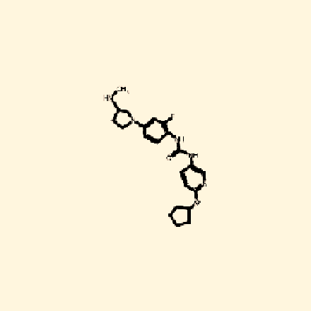 CNC1CCN(c2ccc(NC(=O)Nc3ccc(OC4CCCC4)nc3)c(F)c2)C1